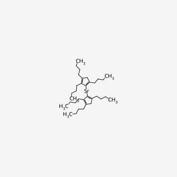 CCCCC1=C(CCCC)[C]([Sr][C]2=C(CCCC)CC(CCCC)=C2CCCC)=C(CCCC)C1